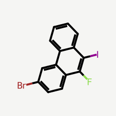 Fc1c(I)c2ccccc2c2cc(Br)ccc12